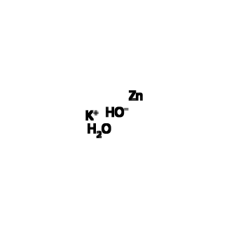 O.[K+].[OH-].[Zn]